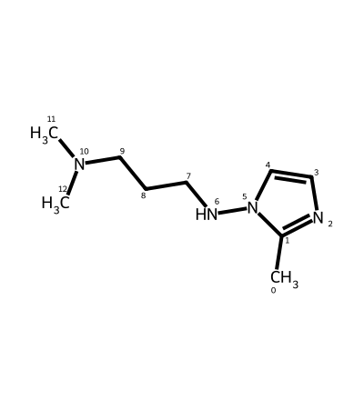 Cc1nccn1NCCCN(C)C